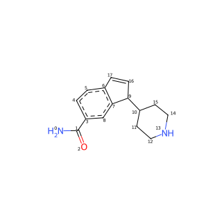 NC(=O)c1ccc2c(c1)C(C1CCNCC1)C=C2